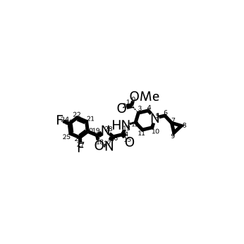 COC(=O)[C@@H]1CN(CC2CC2)CC[C@H]1NC(=O)c1noc(-c2ccc(F)cc2F)n1